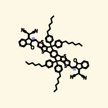 CCCCCCc1ccc(C2(c3ccc(CCCCCC)cc3)c3cc4c(cc3-c3sc5cc(/C=C6\C(=O)c7ccccc7C6=C(C#N)C#N)sc5c32)C(c2ccc(CCCCCC)cc2)(c2ccc(CCCCCC)cc2)c2c-4sc3cc(/C=C4\C(=O)c5ccccc5C4=C(C#N)C#N)sc23)cc1